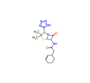 CC1(C)SC2C(NC(=O)CC3C=CCCC3)C(=O)N2C1c1nnn[nH]1